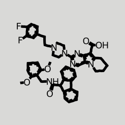 COc1cccc(OC)c1CNC(=O)C1c2ccccc2-c2ccccc21.O=C(O)c1c2n(c3cnc(N4CCN(CCc5ccc(F)c(F)c5)CC4)nc13)CCCC2